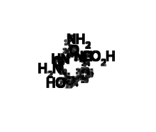 NCCC[C@@H]1NC(=O)[C@@H](N)Cc2cc(ccc2O)-c2cccc(c2)C[C@@H](C(=O)O)NC1=O